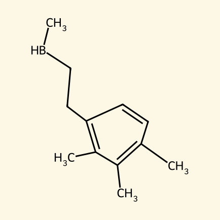 CBCCc1ccc(C)c(C)c1C